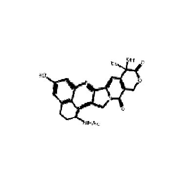 CC[C@@]1(O)C(=O)OCc2c1cc1n(c2=O)Cc2c-1nc1cc(O)cc3c1c2C(NC(C)=O)CC3